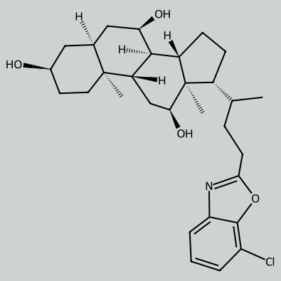 CC(CCc1nc2cccc(Cl)c2o1)[C@H]1CC[C@H]2[C@@H]3[C@H](O)C[C@@H]4C[C@H](O)CC[C@]4(C)[C@H]3C[C@H](O)[C@]12C